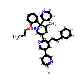 CCCOc1ccccc1C1(c2cccnc2)NC=C(c2ncc(-c3ccc(F)nc3)cc2C=Cc2ccccc2)C=C1C